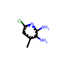 Cc1cc(Cl)nc(N)c1N